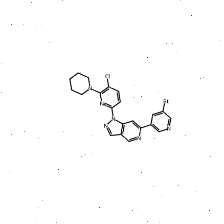 CCc1cncc(-c2cc3c(cn2)cnn3-c2ccc(Cl)c(N3CCCCC3)n2)c1